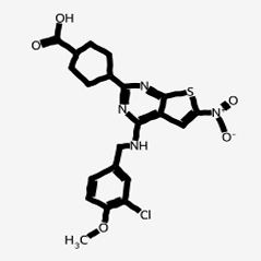 COc1ccc(CNc2nc(C3CCC(C(=O)O)CC3)nc3sc([N+](=O)[O-])cc23)cc1Cl